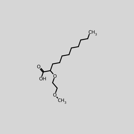 CCCCCCCCCC(OCCOC)C(=O)O